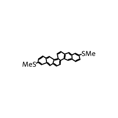 CSc1ccc2cc3c(ccc4c5cc6ccc(SC)cc6cc5ccc34)cc2c1